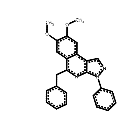 COc1cc2c(Cc3ccccc3)nc3c(cnn3-c3ccccc3)c2cc1OC